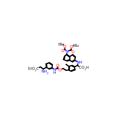 CCOC(=O)C[C@H](N)c1cccc(NC(=O)OCCc2ccc(C(Nc3ccc4c(N(C(=O)OC(C)(C)C)C(=O)OC(C)(C)C)cccc4c3)C(=O)O)cc2C)c1